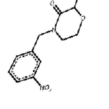 CC1OCCN(Cc2cccc([N+](=O)[O-])c2)C1=O